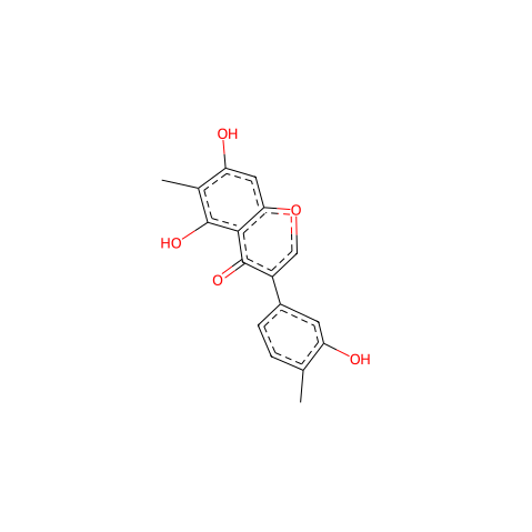 Cc1ccc(-c2coc3cc(O)c(C)c(O)c3c2=O)cc1O